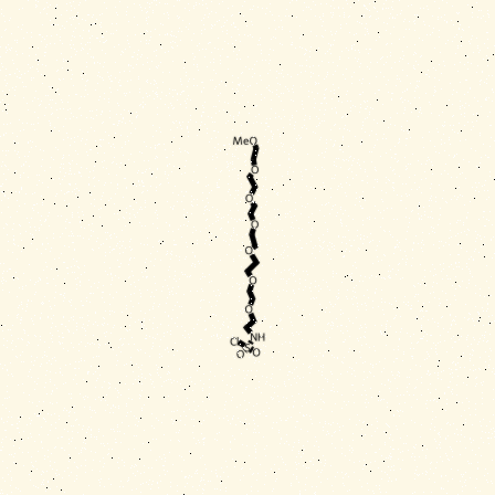 COCCOCCOCCOCCOCCOCCOCCNS(=O)(=O)Cl